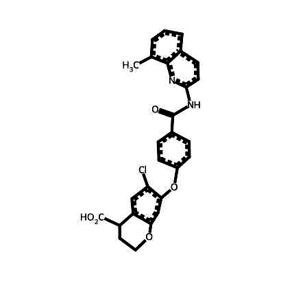 Cc1cccc2ccc(NC(=O)c3ccc(Oc4cc5c(cc4Cl)C(C(=O)O)CCO5)cc3)nc12